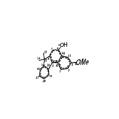 COc1ccc2c3c(cc(O)c2c1)C(C)(C)c1ccccc1-3